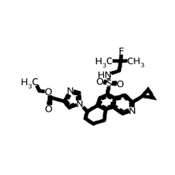 CCOC(=O)c1cn(C2CCCc3c2cc(S(=O)(=O)NCC(C)(C)F)c2cc(C4CC4)ncc32)cn1